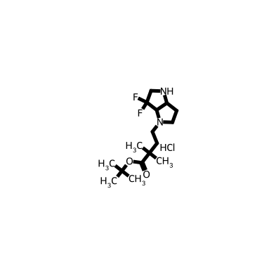 CC(C)(C)OC(=O)C(C)(C)CCN1CCC2NCC(F)(F)C21.Cl